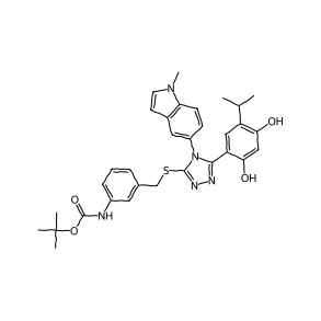 CC(C)c1cc(-c2nnc(SCc3cccc(NC(=O)OC(C)(C)C)c3)n2-c2ccc3c(ccn3C)c2)c(O)cc1O